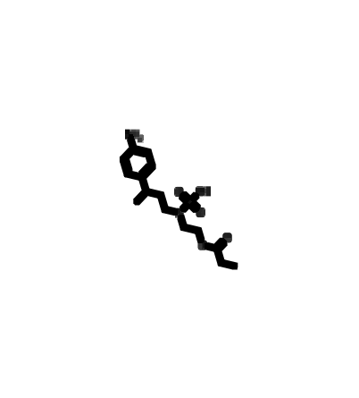 CCC(=O)OCCN(CCC(C)c1ccc(N)cc1)S(=O)(=O)O